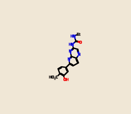 CCNC(=O)Nc1cnc2ccc(-c3ccc(C(=O)O)c(O)c3)nc2n1